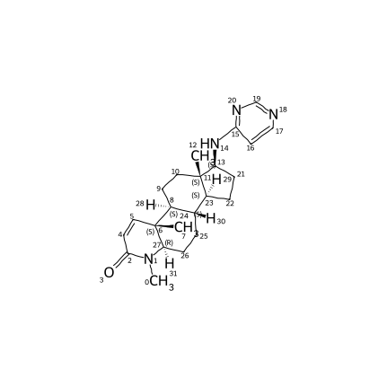 CN1C(=O)C=C[C@]2(C)[C@H]3CC[C@]4(C)[C@@H](Nc5ccncn5)CC[C@H]4[C@@H]3CC[C@@H]12